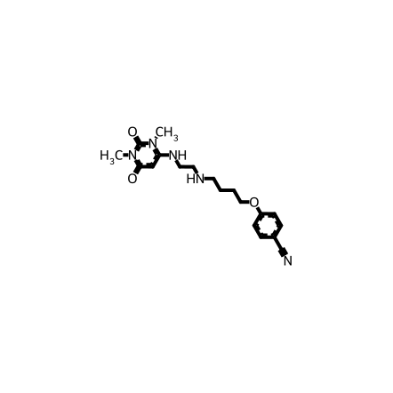 Cn1c(NCCNCCCCOc2ccc(C#N)cc2)cc(=O)n(C)c1=O